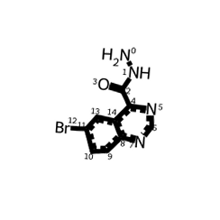 NNC(=O)c1ncnc2ccc(Br)cc12